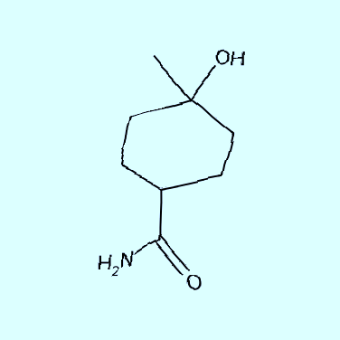 CC1(O)CCC(C(N)=O)CC1